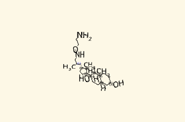 C/C(=C\[C@H]1CC[C@]2(O)[C@@H]3CC[C@@H]4C[C@@H](O)CC[C@]4(C)[C@H]3CC[C@]12C)CNOCCN